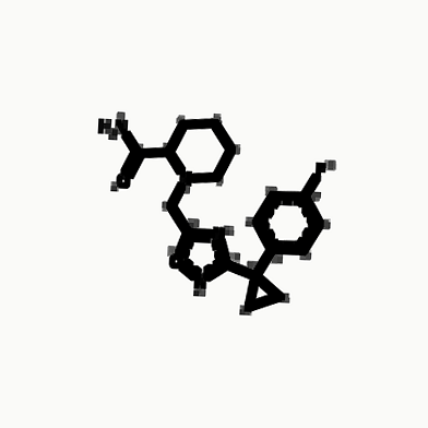 NC(=O)C1C[CH]CCN1Cc1nc(C2(c3ccc(F)cc3)CC2)no1